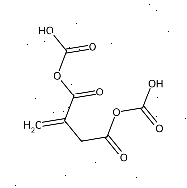 C=C(CC(=O)OC(=O)O)C(=O)OC(=O)O